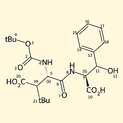 CC(C)(C)OC(=O)N[C@H](C(=O)N[C@H](C(=O)O)C(O)c1ccccc1)C(C(=O)O)C(C)(C)C